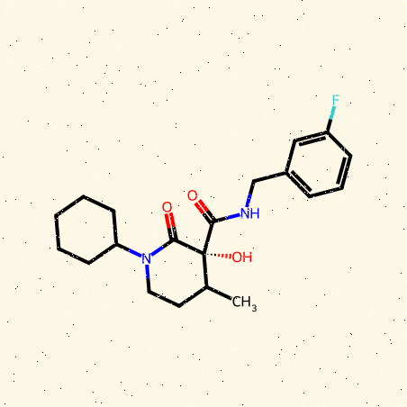 CC1CCN(C2CCCCC2)C(=O)[C@@]1(O)C(=O)NCc1cccc(F)c1